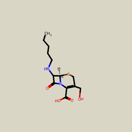 CCCCCNC1C(=O)N2C(C(=O)O)=C(CO)CS[C@H]12